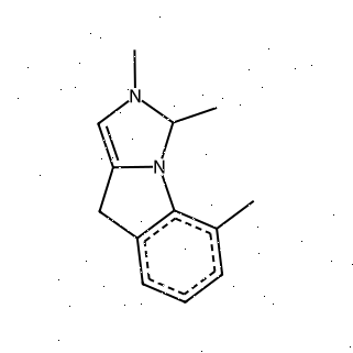 Cc1cccc2c1N1C(=CN(C)C1C)C2